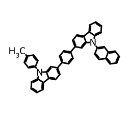 Cc1ccc(-n2c3ccccc3c3ccc(-c4ccc(-c5ccc6c7ccccc7n(-c7ccc8ccccc8c7)c6c5)cc4)cc32)cc1